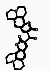 O=C(c1cc2cc3c4c(c2oc1=O)CCCN4CCC3)c1cc2cc3c4c(c2oc1=O)CCCN4CCC3